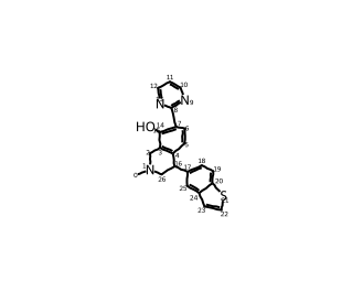 CN1Cc2c(ccc(-c3ncccn3)c2O)C(c2ccc3sccc3c2)C1